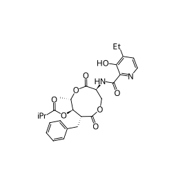 CCc1ccnc(C(=O)N[C@H]2COC(=O)[C@H](Cc3ccccc3)[C@@H](OC(=O)C(C)C)[C@H](C)OC2=O)c1O